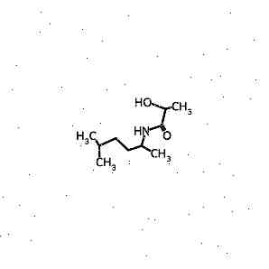 CC(C)CCC(C)NC(=O)C(C)O